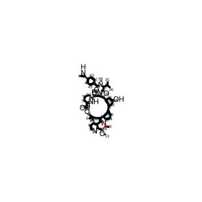 CCn1c(-c2cccnc2[C@H](C)OC)c2c3cc(ccc31)-c1cc(O)cc(c1)C[C@H](NC(=O)C(C(C)C)N(C)C(=O)c1ccc([C@@H]3CN3)cc1)C(=O)N1CCC[C@H](N1)C(=O)OCC(C)(C)C2